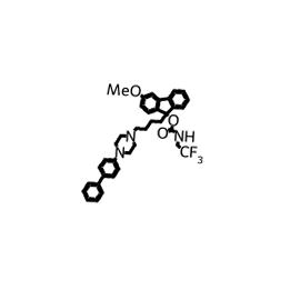 COc1ccc2c(c1)-c1ccccc1C2(CCCCN1CCN(c2ccc(-c3ccccc3)cc2)CC1)OC(=O)NCC(F)(F)F